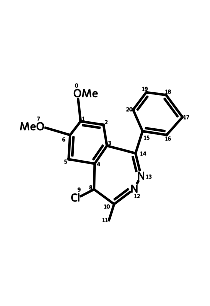 COc1cc2c(cc1OC)C(Cl)C(C)=NN=C2c1ccccc1